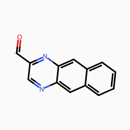 O=[C]c1cnc2cc3ccccc3cc2n1